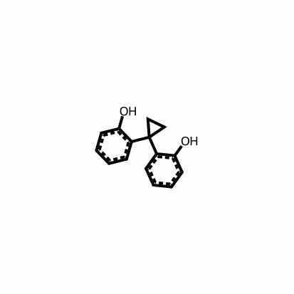 Oc1ccccc1C1(c2ccccc2O)CC1